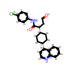 O=CCC(C(=O)Nc1ccc(Cl)cc1)[C@H]1CC[C@@H](c2ccnc3ccccc32)CC1